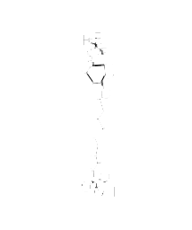 O=S(=O)(O)CCCCCCCCCOc1ccc(SC(F)(F)F)cc1